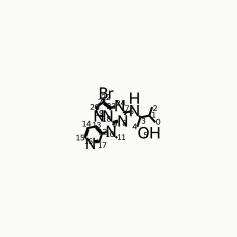 CC(C)C(CO)Nc1nc(N(C)c2cccnc2)n2ncc(Br)c2n1